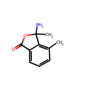 Cc1cccc2c1C(C)(N)OC2=O